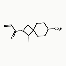 C=CC(=O)N1CC2(CCN(C(=O)O)CC2)[C@@H]1C